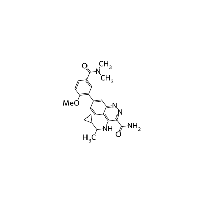 COc1ccc(C(=O)N(C)C)cc1-c1ccc2c(NC(C)C3CC3)c(C(N)=O)nnc2c1